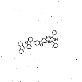 c1ccc(C2NC(c3ccccc3)NC(c3ccc4c(c3)oc3ccc(-c5cccc6oc7c(-n8c9ccccc9c9ccccc98)cccc7c56)cc34)N2)cc1